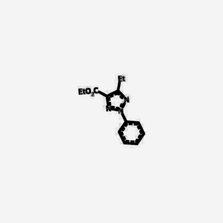 CCOC(=O)c1nn(-c2ccccc2)nc1CC